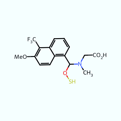 COc1ccc2c(C(OS)N(C)CC(=O)O)cccc2c1C(F)(F)F